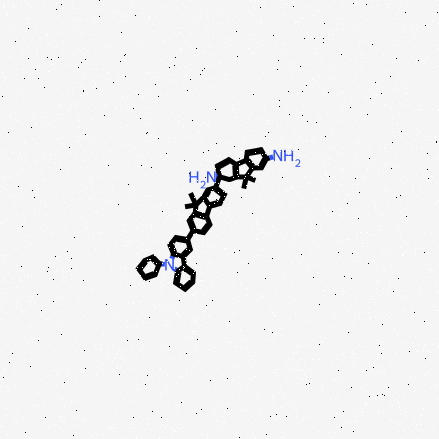 CC1(C)C2=C(C=CC(N)(c3ccc4c(c3)C(C)(C)c3cc(-c5ccc6c(c5)c5ccccc5n6-c5ccccc5)ccc3-4)C2)c2ccc(N)cc21